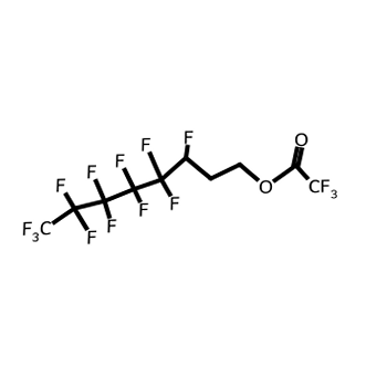 O=C(OCCC(F)C(F)(F)C(F)(F)C(F)(F)C(F)(F)C(F)(F)F)C(F)(F)F